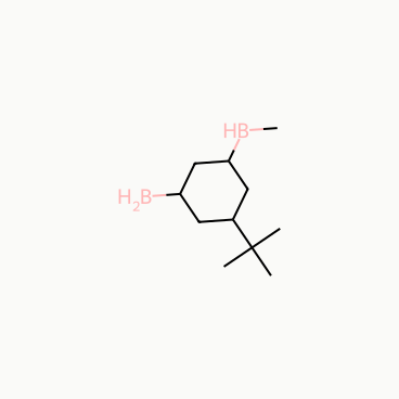 BC1CC(BC)CC(C(C)(C)C)C1